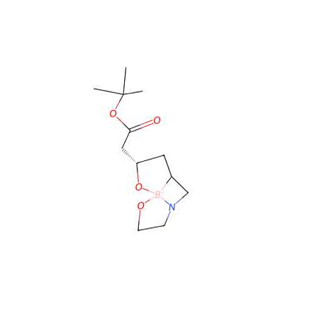 CC(C)(C)OC(=O)C[C@@H]1CC2CN3CCO[B-]23O1